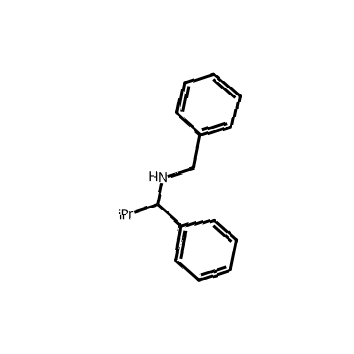 CC(C)C(NCc1ccccc1)c1ccccc1